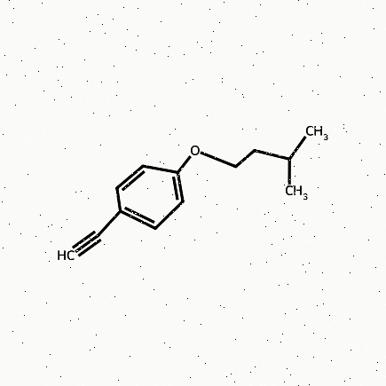 C#Cc1ccc(OCCC(C)C)cc1